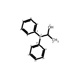 CC(O)P(c1ccccc1)c1ccccc1